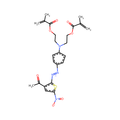 C=C(C)C(=O)OCCN(CCOC(=O)C(=C)C)c1ccc(/N=N/c2sc([N+](=O)[O-])cc2C(C)=O)cc1